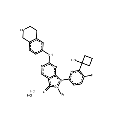 CC(C)n1c(=O)c2cnc(Nc3ccc4c(c3)CCNC4)nc2n1-c1ccc(F)c(C2(O)CCC2)n1.Cl.Cl